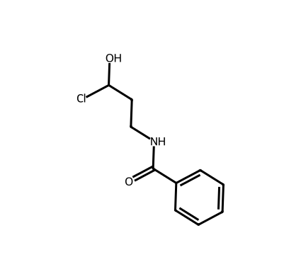 O=C(NCCC(O)Cl)c1ccccc1